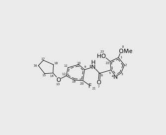 COc1ccnc(C(=O)Nc2ccc(OC3CCCC3)cc2F)c1O